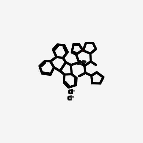 CC([C](C(C)C1CCCC1)=[Zr+2]([C]1=CC=CC1)[CH]1C2C=CC=CC2C2C3C=CC=CC3C3C=CC=CC3C21)C1CCCC1.[Cl-].[Cl-]